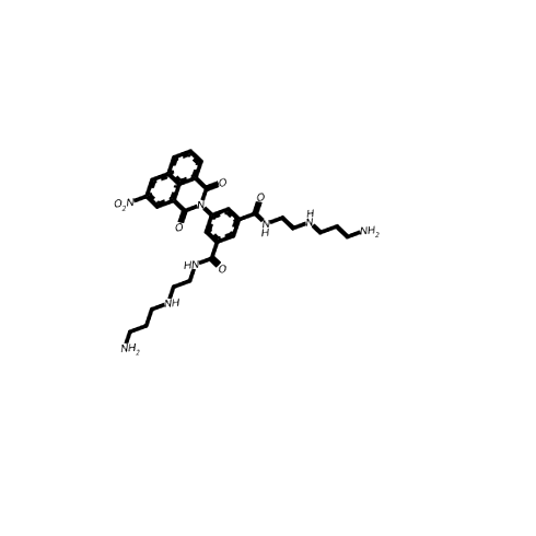 NCCCNCCNC(=O)c1cc(C(=O)NCCNCCCN)cc(N2C(=O)c3cccc4cc([N+](=O)[O-])cc(c34)C2=O)c1